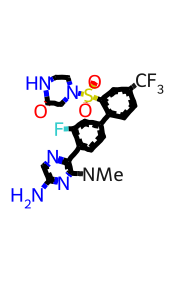 CNc1nc(N)cnc1-c1ccc(-c2ccc(C(F)(F)F)cc2S(=O)(=O)N2CCNC(=O)C2)cc1F